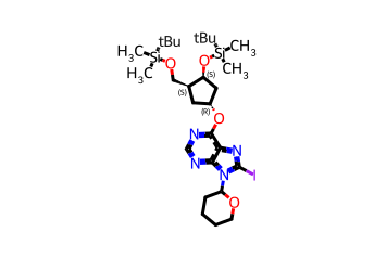 CC(C)(C)[Si](C)(C)OC[C@@H]1C[C@@H](Oc2ncnc3c2nc(I)n3C2CCCCO2)C[C@@H]1O[Si](C)(C)C(C)(C)C